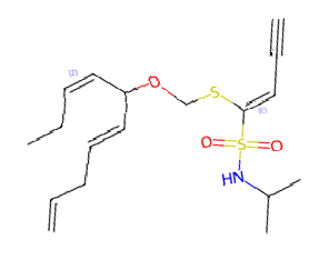 C#C/C=C(\SCOC(C=CCC=C)/C=C\CC)S(=O)(=O)NC(C)C